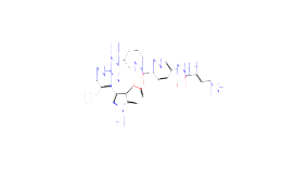 CN(C)C/C=C/C(=O)Nc1ccc(C(=O)N2CCCC(Nc3ncc(Br)c(-c4c[nH]c5ccccc45)n3)C2)nc1